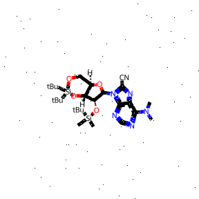 CN(C)c1ncnc2c1nc(C#N)n2C1O[C@@H]2CO[Si](C(C)(C)C)(C(C)(C)C)O[C@H]2[C@H]1O[Si](C)(C)C(C)(C)C